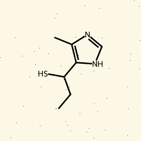 [CH2]CC(S)c1[nH]cnc1C